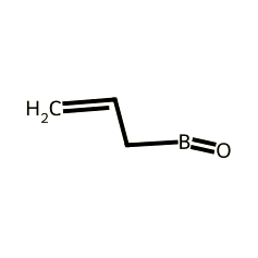 C=CCB=O